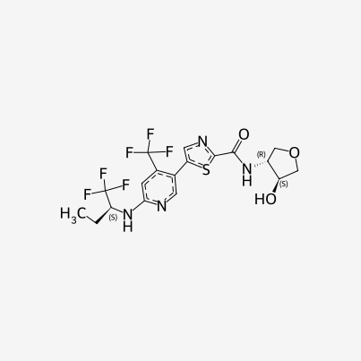 CC[C@H](Nc1cc(C(F)(F)F)c(-c2cnc(C(=O)N[C@@H]3COC[C@H]3O)s2)cn1)C(F)(F)F